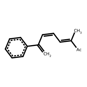 C=C(/C=C\C=C(/C)C(C)=O)c1ccccc1